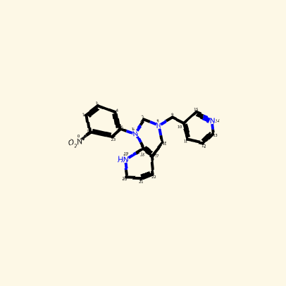 O=[N+]([O-])c1cccc(N2CN(Cc3cccnc3)CC3=C2NCC=C3)c1